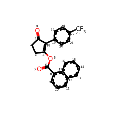 O=C1CCC(OC(=O)c2cccc3ccccc23)=C1c1ccc(C(F)(F)F)cc1